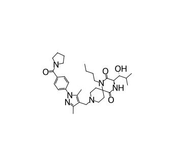 CCCCN1C(=O)[C@@H]([C@H](O)C(C)C)NC(=O)C12CCN(Cc1c(C)nn(-c3ccc(C(=O)N4CCCC4)cc3)c1C)CC2